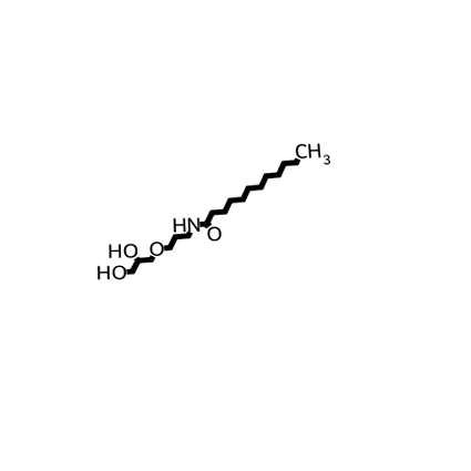 CCCCCCCCCCCC(=O)NCCCOCC(O)CO